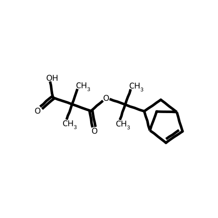 CC(C)(C(=O)O)C(=O)OC(C)(C)C1CC2C=CC1C2